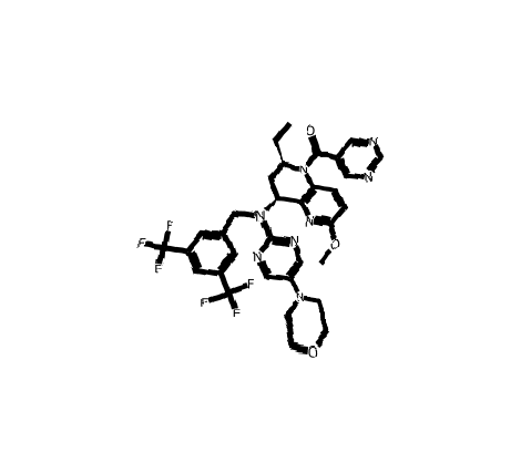 CC[C@@H]1C[C@H](N(Cc2cc(C(F)(F)F)cc(C(F)(F)F)c2)c2ncc(N3CCOCC3)cn2)c2nc(OC)ccc2N1C(=O)c1cncnc1